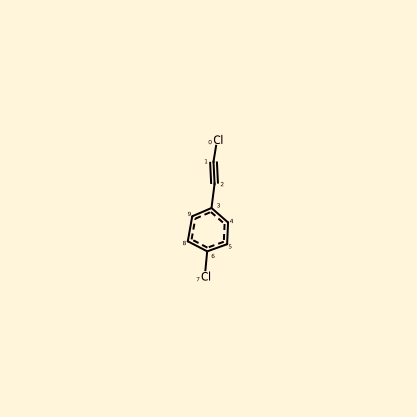 ClC#Cc1ccc(Cl)cc1